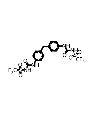 O=C(Nc1ccc(Cc2ccc(NC(=O)NS(=O)(=O)C(F)(F)F)cc2)cc1)NS(=O)(=O)C(F)(F)F